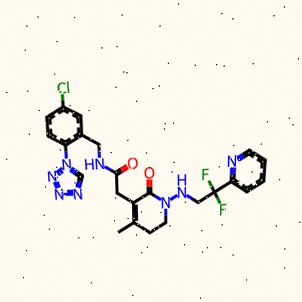 CC1=C(CC(=O)NCc2cc(Cl)ccc2-n2cnnn2)C(=O)N(NCC(F)(F)c2ccccn2)CC1